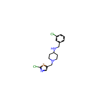 Clc1cccc(CNC2CCN(Cc3cnc(Cl)s3)CC2)c1